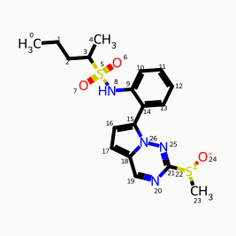 CCCC(C)S(=O)(=O)Nc1ccccc1-c1ccc2cnc([S+](C)[O-])nn12